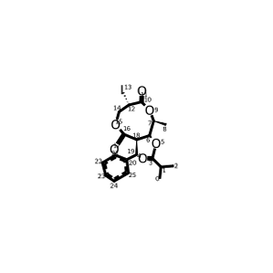 CC(C)C(=O)O[C@H]1[C@H](C)OC(=O)[C@@H](I)COC(=O)[C@@H]1Cc1ccccc1